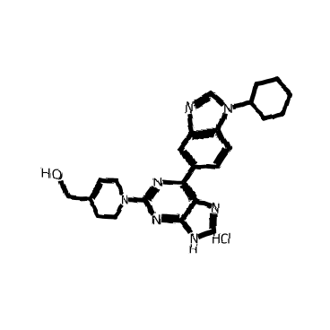 Cl.OCC1=CCN(c2nc(-c3ccc4c(c3)ncn4C3CCCCC3)c3nc[nH]c3n2)CC1